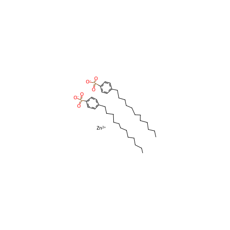 CCCCCCCCCCCCc1ccc(S(=O)(=O)[O-])cc1.CCCCCCCCCCCCc1ccc(S(=O)(=O)[O-])cc1.[Zn+2]